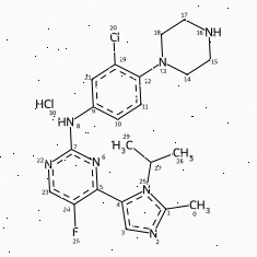 Cc1ncc(-c2nc(Nc3ccc(N4CCNCC4)c(Cl)c3)ncc2F)n1C(C)C.Cl